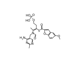 COc1ccc2oc(C(=O)S/C(CCOP(=O)(O)O)=C(/C)N(C=O)Cc3cnc(C)nc3N)cc2c1